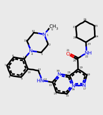 CN1CCN(c2ccccc2CNc2ccn3ncc(C(=O)NC4CCCCC4)c3n2)CC1